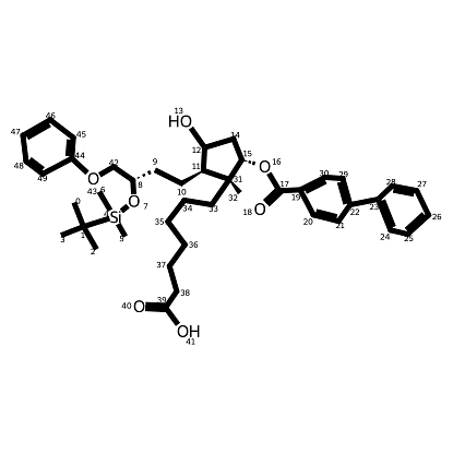 CC(C)(C)[Si](C)(C)O[C@@H](CC[C@H]1C(O)C[C@H](OC(=O)c2ccc(-c3ccccc3)cc2)[C@]1(C)CCCCCCC(=O)O)COc1ccccc1